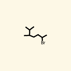 CC(Br)CCC(C)C(C)C